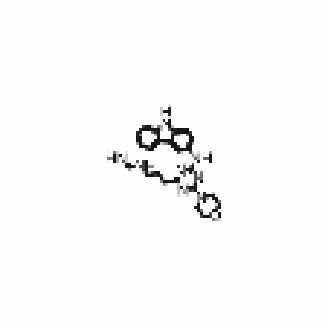 N=CNCCCc1nc(Nc2ccc3[nH]c4ccccc4c3c2)nc(N2CCOCC2)n1